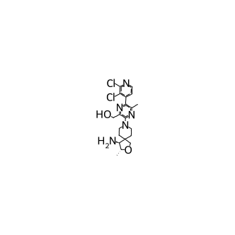 Cc1nc(N2CCC3(CC2)CO[C@H](C)[C@H]3N)c(CO)nc1-c1ccnc(Cl)c1Cl